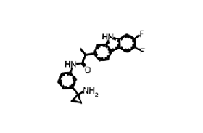 CC(C(=O)Nc1cccc(C2(N)CC2)c1)c1ccc2c(c1)[nH]c1cc(F)c(F)cc12